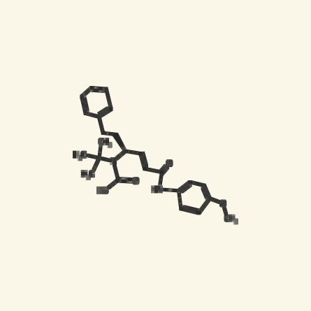 COc1ccc(NC(=O)/C=C/[C@H](CCc2ccccc2)N(C(=O)O)C(C)(C)C)cc1